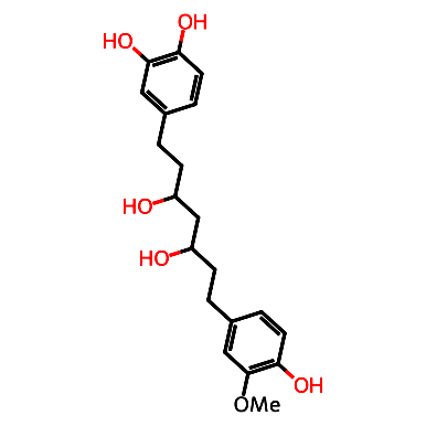 COc1cc(CCC(O)CC(O)CCc2ccc(O)c(O)c2)ccc1O